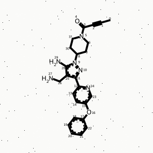 CC#CC(=O)N1CCC(n2nc(-c3ccc(Oc4ccccc4)cn3)c(CN)c2N)CC1